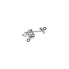 CC1=C(C(=O)OCCCCCCN2C(=O)c3ccccc3C2=O)C(c2ccccc2OCc2ccccc2)C([N+](=O)[O-])=C(C)N1